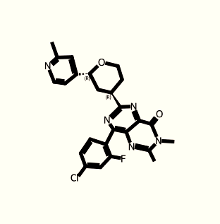 Cc1cc([C@H]2C[C@H](c3nc(-c4ccc(Cl)cc4F)c4nc(C)n(C)c(=O)c4n3)CCO2)ccn1